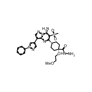 COCCO[C@]1(C(=O)NN)CC[C@@H](c2nc3c(-c4cnn(-c5ccccc5)c4)cnn3c(N)c2S(C)(=O)=O)CC1